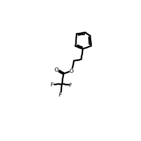 O=C(OCCc1ccccc1)C(F)(F)F